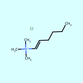 CCCCC=C[N+](C)(C)C.[Cl-]